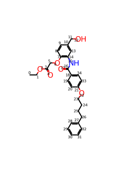 CCOC(=O)COc1ccc(CO)cc1NC(=O)c1ccc(OCCCCc2ccccc2)cc1